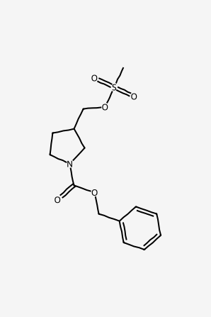 CS(=O)(=O)OCC1CCN(C(=O)OCc2ccccc2)C1